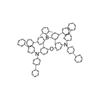 Cc1cccc(C)c1B1c2ccc(-c3ccccc3)cc2-c2cc(N(c3ccc(-c4ccccc4)cc3)c3ccc(-c4ccccc4)cc3)ccc2Oc2ccc(N(c3ccc(-c4ccccc4)cc3)c3ccc(-c4ccccc4)cc3)cc2-c2cc(-c3ccccc3)ccc21